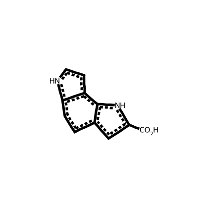 O=C(O)c1cc2ccc3[nH]ccc3c2[nH]1